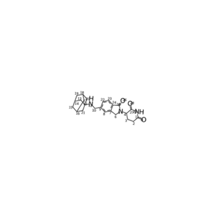 O=C1CCC(N2Cc3cc(CNC45CC6CC(CC(C6)C4)C5)ccc3C2=O)C(=O)N1